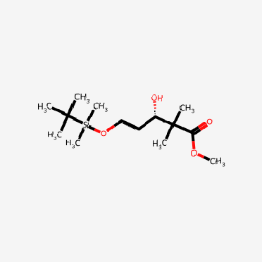 COC(=O)C(C)(C)[C@@H](O)CCO[Si](C)(C)C(C)(C)C